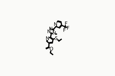 C=C(OCC)c1cnc(-c2nnc(-c3cc(C(F)(F)F)ccn3)n2C)c(SCC)c1